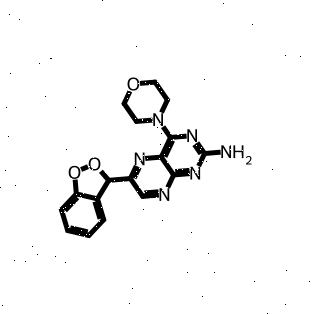 Nc1nc(N2CCOCC2)c2nc(C3OOc4ccccc43)cnc2n1